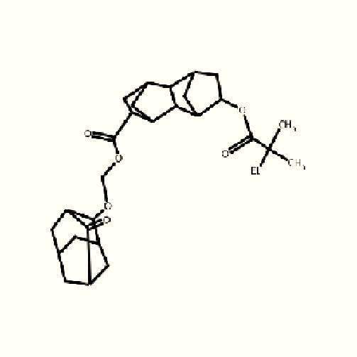 CCC(C)(C)C(=O)OC1CC2CC1C1C3CC(CC3C(=O)OCOC3C4CC5CC(C4)C(=O)C3C5)C21